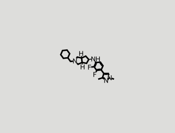 Cc1nn(C)cc1-c1ccc(N[C@H]2C[C@@H]3CN(CC4CCCCC4)C[C@@H]3C2)c(F)c1F